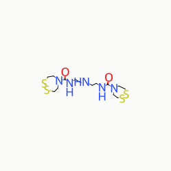 O=C(NCCNCCNC(=O)N1CCSSCC1)N1CCSSCC1